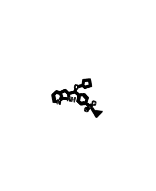 O=S(=O)(c1ccc(C(OC2CCCC2)C2Cc3cccnc3N2)cc1)C1CC1